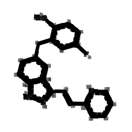 COc1ccc(F)cc1Cc1ccc2[nH]nc(C=Cc3ccccn3)c2c1